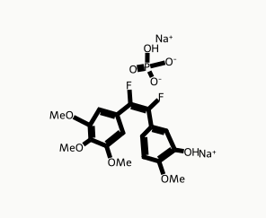 COc1ccc(/C(F)=C(/F)c2cc(OC)c(OC)c(OC)c2)cc1O.O=P([O-])([O-])O.[Na+].[Na+]